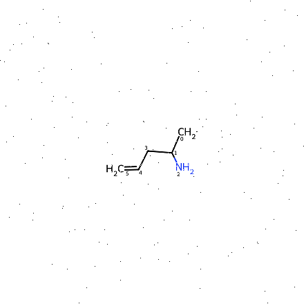 [CH2]C(N)CC=C